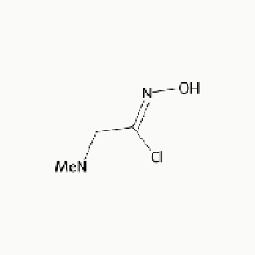 CNC/C(Cl)=N/O